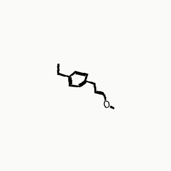 CCc1ccc(C/C=C/OC)cc1